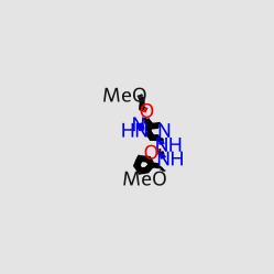 COCCOc1n[nH]c2cc(NC(=O)N[C@@H](COC)c3ccccc3)ncc12